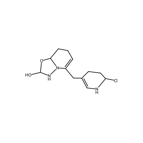 OC1NN2C(CC3=CNC(Cl)CC3)=CCCC2O1